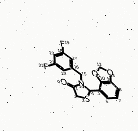 O=C1CSC(c2cccc3c2OCO3)N1Cc1cc(F)cc(F)c1